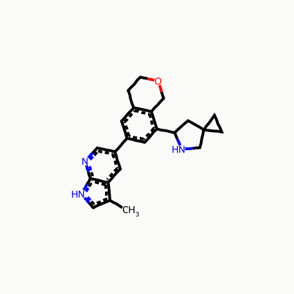 Cc1c[nH]c2ncc(-c3cc4c(c(C5CC6(CC6)CN5)c3)COCC4)cc12